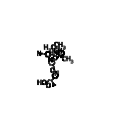 Cc1ccc(CC(C)(C)C)c(NC(=O)c2ccc(C#N)cc2N2CCC(COc3cc(C(CC(=O)O)C4CC4)ccn3)CC2)n1